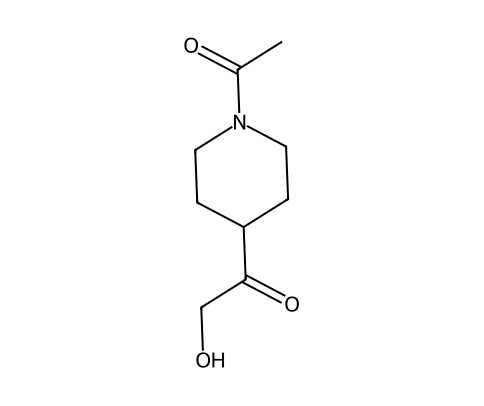 CC(=O)N1CCC(C(=O)CO)CC1